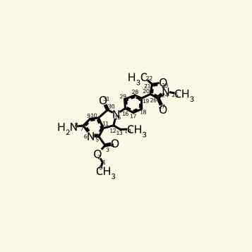 CCOC(=O)c1nc(N)cc2c1C(CC)N(c1ccc(-c3c(C)on(C)c3=O)cc1)C2=O